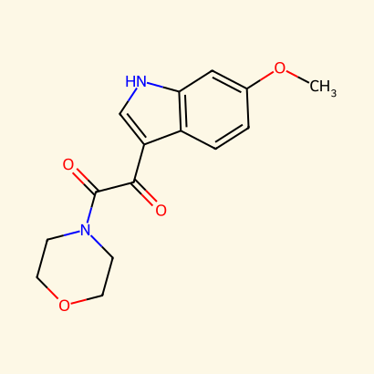 COc1ccc2c(C(=O)C(=O)N3CCOCC3)c[nH]c2c1